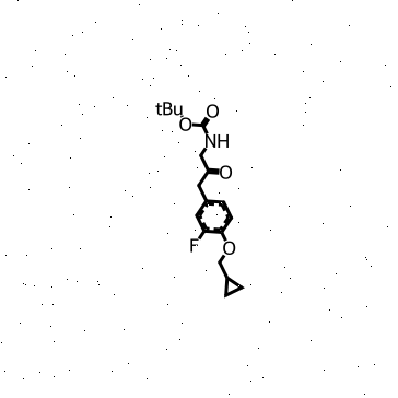 CC(C)(C)OC(=O)NCC(=O)Cc1ccc(OCC2CC2)c(F)c1